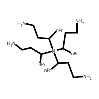 CCCC(CCN)[N+](C(CCC)CCN)(C(CCC)CCN)C(CCC)CCN